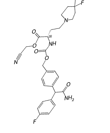 N#CCOC(=O)[C@H](CCN1CCC(F)(F)CC1)NC(=O)OCc1ccc(C(C(N)=O)c2ccc(F)cc2)cc1